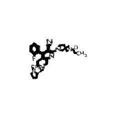 C=CC(=O)N1CC2(CCN(c3nc4c(c(-c5ccccc5F)c3C#N)CCN(C[C@H]3CCCN3C)C4)C2)C1